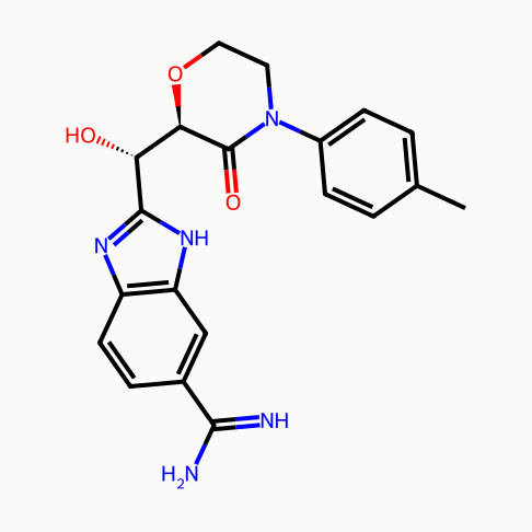 Cc1ccc(N2CCO[C@H]([C@@H](O)c3nc4ccc(C(=N)N)cc4[nH]3)C2=O)cc1